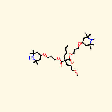 CCCCC(CCCOC)(C(=O)OCCCOC1CC(C)(C)NC(C)(C)C1)C(=O)OCCCOC1CC(C)(C)N(C)C(C)(C)C1